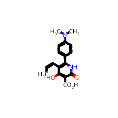 C/C=C\c1c(-c2ccc(N(C)C)cc2)[nH]c(=O)c(C(=O)O)c1O